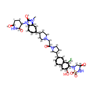 Cn1c(=O)n(C2CCC(=O)NC2=O)c2ccc(C3CCN(CC(=O)N4CCC(c5ccc6cc(O)c(N7CC(=O)NS7(=O)=O)c(F)c6c5)C4)CC3)cc21